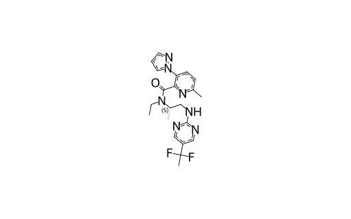 CCN(C(=O)c1nc(C)ccc1-n1cccn1)[C@@H](C)CNc1ncc(C(C)(F)F)cn1